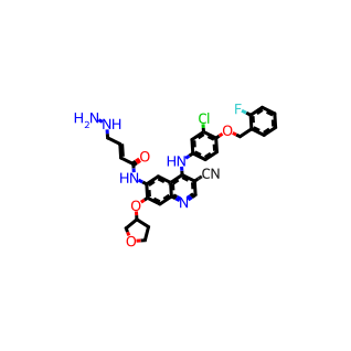 N#Cc1cnc2cc(OC3CCOC3)c(NC(=O)/C=C/CNN)cc2c1Nc1ccc(OCc2ccccc2F)c(Cl)c1